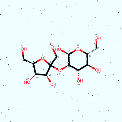 OC[C@H]1OC(CO)(O[C@@H]2[C@@H](O)[C@H](O)[C@@H](CO)O[C@@H]2O)[C@@H](O)[C@@H]1O